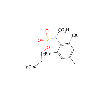 CCCCCCCCCCCCOS(=O)(=O)N(C(=O)O)c1c(C(C)(C)C)cc(C)cc1C(C)(C)C